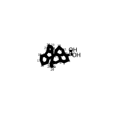 OB(O)c1ccc2c3c(cccc13)C1(c3ccccc3-c3ccccc31)c1ccccc1-2